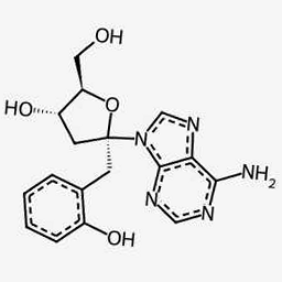 Nc1ncnc2c1ncn2[C@@]1(Cc2ccccc2O)C[C@H](O)[C@@H](CO)O1